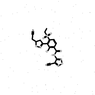 CCS(=O)(=O)c1ccc(C(=O)Nc2nonc2C#N)c(Cl)c1C1=NOC(CC#N)C1